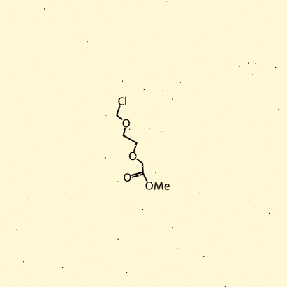 COC(=O)COCCOCCl